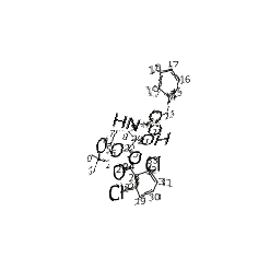 CC(C)(C)OC(=O)C[C@H](NC(=O)OCc1ccccc1)C(O)COC(=O)c1c(Cl)cccc1Cl